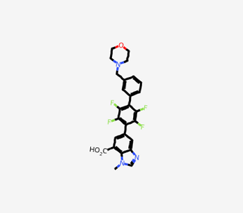 Cn1cnc2cc(-c3c(F)c(F)c(-c4cccc(CN5CCOCC5)c4)c(F)c3F)cc(C(=O)O)c21